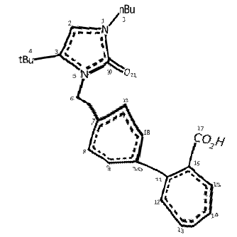 CCCCn1cc(C(C)(C)C)n(Cc2ccc(-c3ccccc3C(=O)O)cc2)c1=O